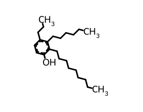 CCCCCCCCCc1c(O)ccc(CCC)c1CCCCCC